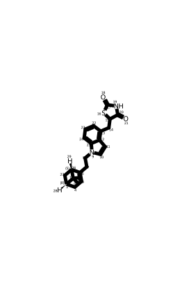 CC1(C)[C@H]2CC=C(CCn3ccc4c(CC5SC(=O)NC5=O)cccc43)[C@H]1C2